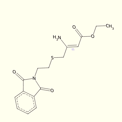 CCOC(=O)/C=C(\N)CSCCN1C(=O)c2ccccc2C1=O